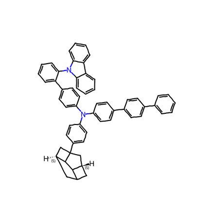 c1ccc(-c2ccc(-c3ccc(N(c4ccc(-c5ccccc5-n5c6ccccc6c6ccccc65)cc4)c4ccc(C56C[C@@H]7CC8C[C@@H](C5)C6C87)cc4)cc3)cc2)cc1